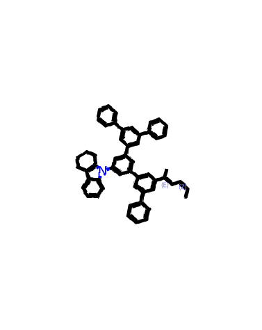 C/C=C\C=C(/C)c1cc(-c2ccccc2)cc(-c2cc(-c3cc(-c4ccccc4)cc(-c4ccccc4)c3)cc(-n3c4c(c5ccccc53)CCCC4)c2)c1